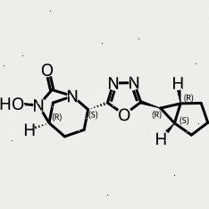 O=C1N(O)[C@@H]2CC[C@@H](c3nnc([C@H]4[C@@H]5CCC[C@@H]54)o3)N1C2